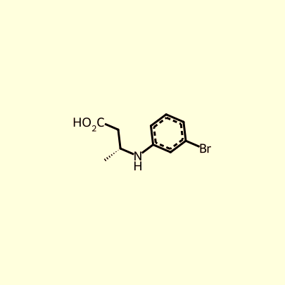 C[C@H](CC(=O)O)Nc1cccc(Br)c1